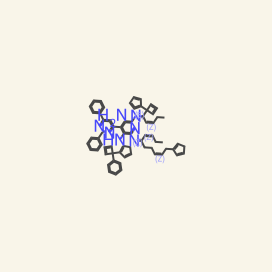 CC/C=C\C(CC/C=C\CC1=CCC=C1)=N/c1nc(/N=C(\C=C/CC)C2(C3=C=CC=C3)C=C=C2)c(N)c(-c2cc(-c3ccccc3)nc(-c3ccccc3)n2)c1NC1=C(C2(c3ccccc3)C=C=C2)C=CC1